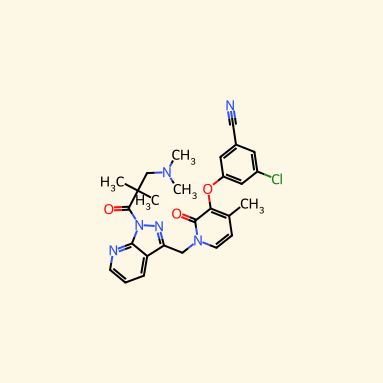 Cc1ccn(Cc2nn(C(=O)C(C)(C)CN(C)C)c3ncccc23)c(=O)c1Oc1cc(Cl)cc(C#N)c1